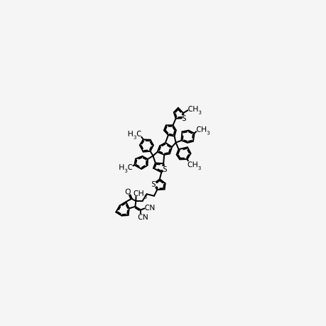 Cc1ccc(C2(c3ccc(C)cc3)c3cc(-c4ccc(C)s4)ccc3-c3cc4c(cc32)-c2sc(-c3ccc(CCCC5(C)C(=O)c6ccccc6C5=C(C#N)C#N)s3)cc2C4(c2ccc(C)cc2)c2ccc(C)cc2)cc1